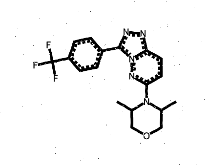 CC1COCC(C)N1c1ccc2nnc(-c3ccc(C(F)(F)F)cc3)n2n1